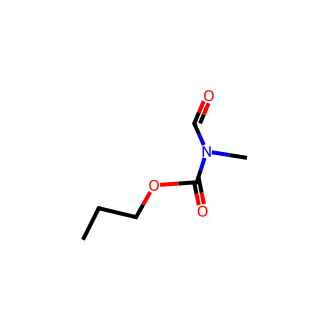 CCCOC(=O)N(C)C=O